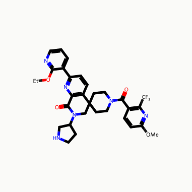 CCOc1ncccc1-c1ccc2c(n1)C(=O)N(C1CCNC1)CC21CCN(C(=O)c2ccc(OC)nc2C(F)(F)F)CC1